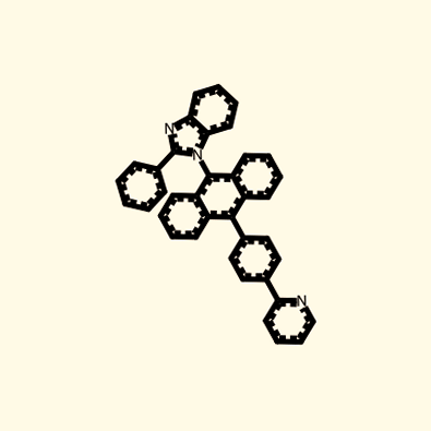 c1ccc(-c2nc3ccccc3n2-c2c3ccccc3c(-c3ccc(-c4ccccn4)cc3)c3ccccc23)cc1